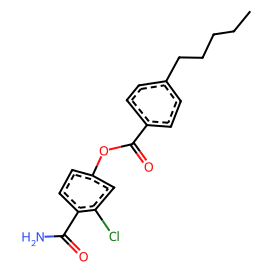 CCCCCc1ccc(C(=O)Oc2ccc(C(N)=O)c(Cl)c2)cc1